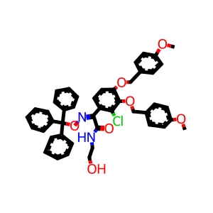 COc1ccc(COc2ccc(/C(=N/OC(c3ccccc3)(c3ccccc3)c3ccccc3)C(=O)NCCO)c(Cl)c2OCc2ccc(OC)cc2)cc1